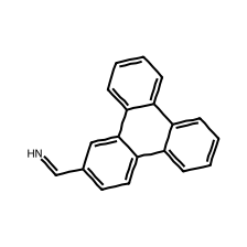 N=Cc1ccc2c3ccccc3c3ccccc3c2c1